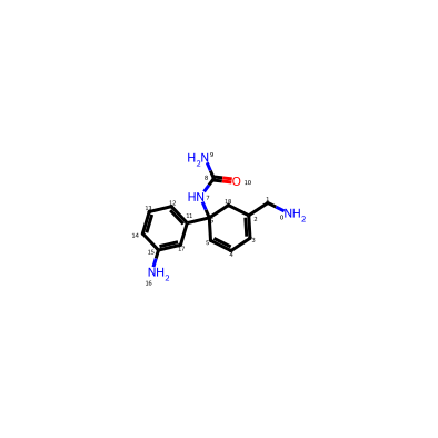 NCC1=CC=CC(NC(N)=O)(c2cccc(N)c2)C1